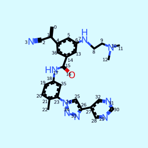 C=C(C#N)c1cc(NCCN(C)C)cc(C(=O)Nc2ccc(C)c(-n3cc(-c4cncnc4)nn3)c2)c1